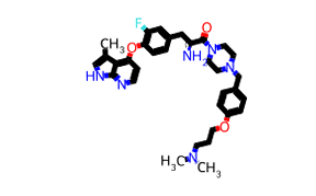 Cc1c[nH]c2nccc(Oc3ccc(C[C@H](N)C(=O)N4CCN(Cc5ccc(OCCCN(C)C)cc5)CC4)cc3F)c12